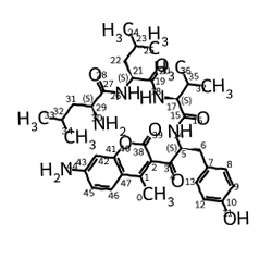 Cc1c(C(=O)[C@H](Cc2ccc(O)cc2)NC(=O)[C@@H](NC(=O)[C@H](CC(C)C)NC(=O)[C@@H](N)CC(C)C)C(C)C)c(=O)oc2cc(N)ccc12